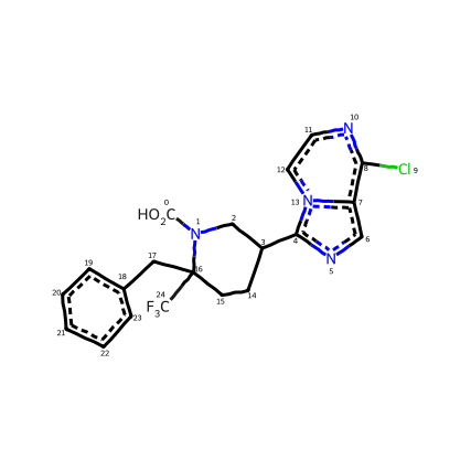 O=C(O)N1CC(c2ncc3c(Cl)nccn23)CCC1(Cc1ccccc1)C(F)(F)F